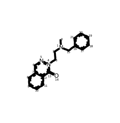 CN(CCn1ncc2ccccc2c1=O)Cc1ccccc1